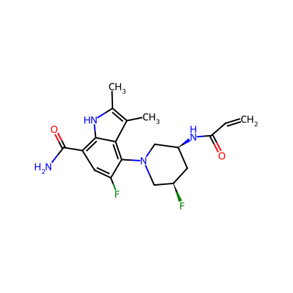 C=CC(=O)N[C@H]1C[C@@H](F)CN(c2c(F)cc(C(N)=O)c3[nH]c(C)c(C)c23)C1